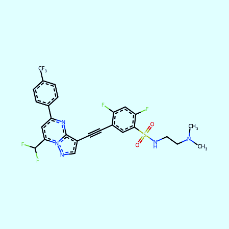 CN(C)CCNS(=O)(=O)c1cc(C#Cc2cnn3c(C(F)F)cc(-c4ccc(C(F)(F)F)cc4)nc23)c(F)cc1F